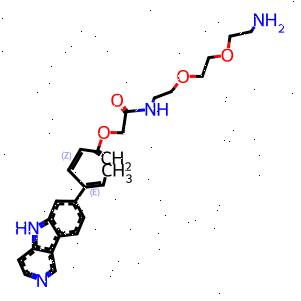 C=C(/C=C\C(=C/C)c1ccc2c(c1)[nH]c1ccncc12)OCC(=O)NCCOCCOCCN